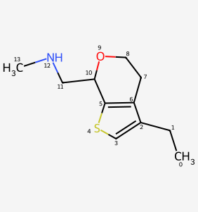 CCc1csc2c1CCOC2CNC